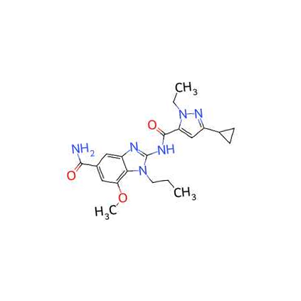 CCCn1c(NC(=O)c2cc(C3CC3)nn2CC)nc2cc(C(N)=O)cc(OC)c21